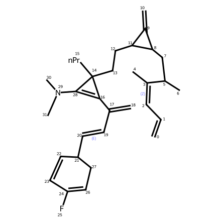 C=C/C=C(/C)C(C)CC1C(=C)C1CCC1(CCC)C(C(=C)/C=C/C2C=CC(F)=CC2)=C1N(C)C